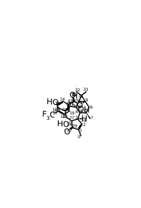 CC1=C[C@H]2[C@@]3(O)[C@H](C)C[C@]4(OC(=O)c5ccc(C(F)(F)F)cc5)[C@@H]([C@@H]3C=C(CO)C[C@]2(O)C1=O)C4(C)C